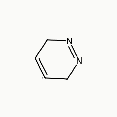 [C]1=CCN=NC1